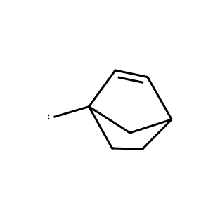 [CH]C12C=CC(CC1)C2